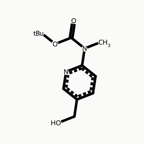 CN(C(=O)OC(C)(C)C)c1ccc(CO)cn1